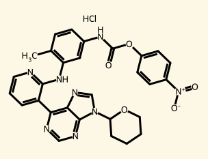 Cc1ccc(NC(=O)Oc2ccc([N+](=O)[O-])cc2)cc1Nc1ncccc1-c1ncnc2c1ncn2C1CCCCO1.Cl